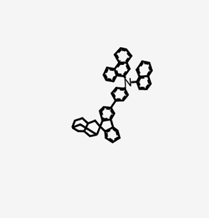 c1ccc2c(c1)-c1cc(-c3ccc(N(c4cccc5ccccc45)c4cc5ccccc5c5ccccc45)cc3)ccc1C21CC2CCC3CC2CC1C3